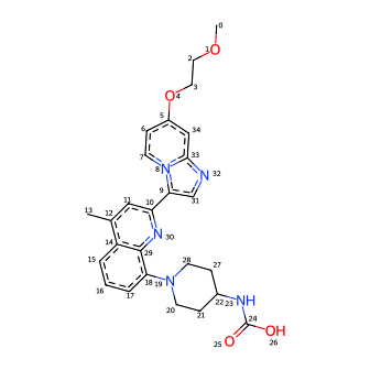 COCCOc1ccn2c(-c3cc(C)c4cccc(N5CCC(NC(=O)O)CC5)c4n3)cnc2c1